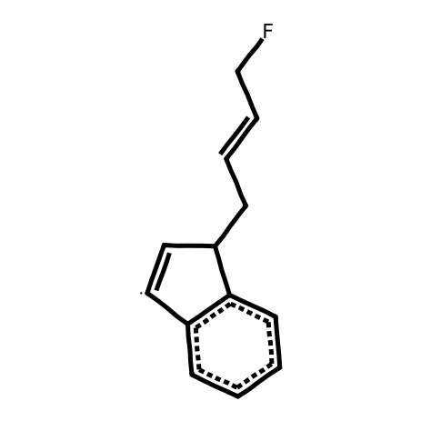 FC/C=C/CC1C=[C]c2ccccc21